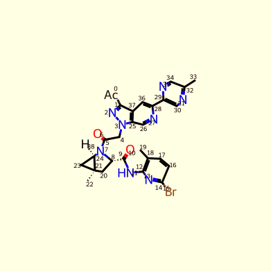 CC(=O)c1nn(CC(=O)N2[C@H](C(=O)Nc3nc(Br)ccc3C)C[C@@]3(C)C[C@@H]23)c2cnc(-c3cnc(C)cn3)cc12